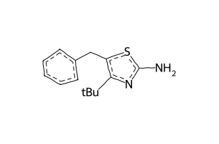 CC(C)(C)c1nc(N)sc1Cc1ccccc1